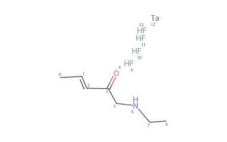 C/C=C/C(=O)CNCC.F.F.F.F.[Ta]